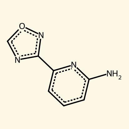 Nc1cccc(-c2ncon2)n1